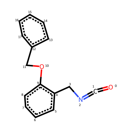 O=C=NCc1ccccc1OCc1ccccc1